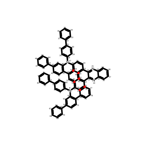 c1ccc(-c2ccc(N(c3ccc(-c4nc5ccccc5nc4-c4ccc(N(c5ccc(-c6ccccc6)cc5)c5cc(-c6ccccc6)ccc5-c5ccccc5)cc4)cc3)c3cc(-c4ccccc4)ccc3-c3ccccc3)cc2)cc1